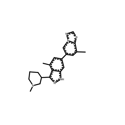 Cc1cc(-c2cc(C)c3ncnn3c2)cc2[nH]nc(C3CCCN(C)C3)c12